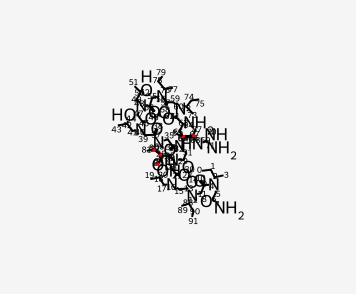 CCC(C)N(CC(N)=O)C(=O)CN(C(=O)CN(CC(C)O)C(=O)CN(CC(C)O)C(=O)CN(C(=O)CN(C(=O)CN(CC(C)O)C(=O)CN(CC(C)O)C(=O)CN(C(=O)CN(C(=O)C(N)CCCNC(=N)N)C(C)CC)C(C)CC)C(C)CC)C(C)CC)C(C)CC